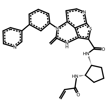 C=CC(=O)N[C@H]1CCC[C@H]1NC(=O)c1sc2nccc3c2c1[nH]c(=C)n3-c1cccc(-c2cccnc2)c1